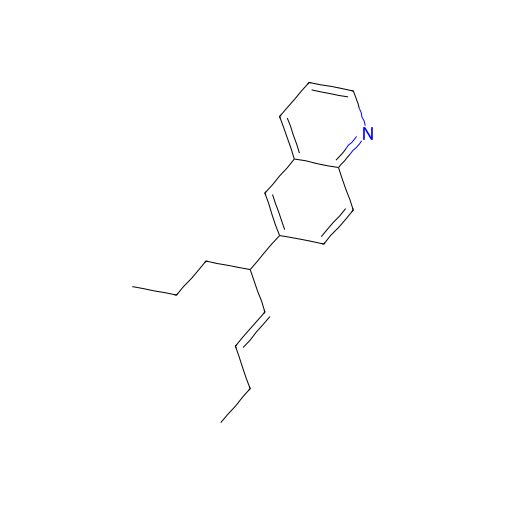 CC/C=C/C(CCC)c1ccc2ncccc2c1